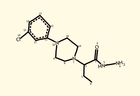 CCC(C(=O)NN)N1CCN(c2cccc(Cl)c2)CC1